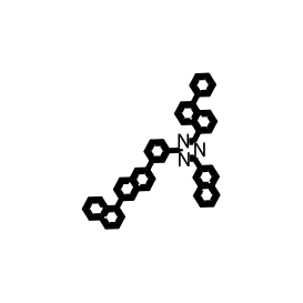 c1ccc(-c2cccc3c(-c4nc(-c5cccc(-c6ccc7cc(-c8cccc9ccccc89)ccc7c6)c5)nc(-c5ccc6ccccc6c5)n4)cccc23)cc1